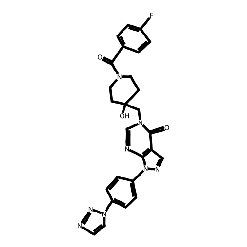 O=C(c1ccc(F)cc1)N1CCC(O)(Cn2cnc3c(cnn3-c3ccc(-n4ccnn4)cc3)c2=O)CC1